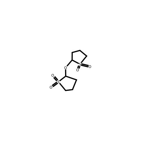 O=S1(=O)CCCC1OC1CCCS1(=O)=O